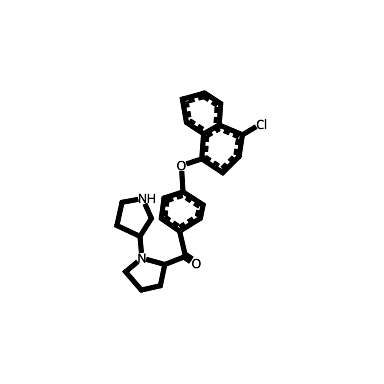 O=C(c1ccc(Oc2ccc(Cl)c3ccccc23)cc1)C1CCCN1C1CCNC1